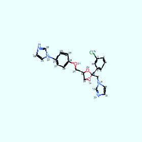 Clc1cccc(C2(Cn3ccnc3)OCC(COc3ccc(-n4ccnc4)cc3)O2)c1